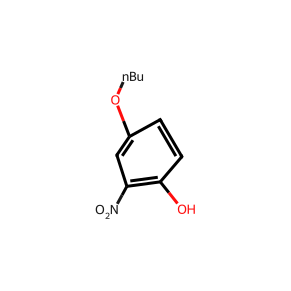 CCCCOc1ccc(O)c([N+](=O)[O-])c1